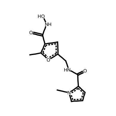 Cc1oc(CNC(=O)c2cccn2C)cc1C(=O)NO